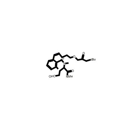 CNC(=O)C(CCC=O)N(C)C(=O)c1c(C)cccc1/C=C\CCCOCC(=O)CC(C)(C)C